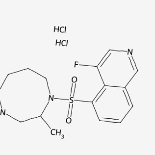 CC1CNCCCCN1S(=O)(=O)c1cccc2cncc(F)c12.Cl.Cl